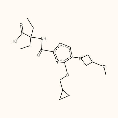 CCC(CC)(NC(=O)c1ccc(N2CC(OC)C2)c(OCC2CC2)n1)C(=O)O